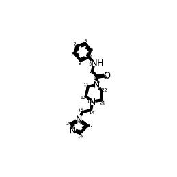 O=C(CNc1ccccc1)N1CCN(CCn2ccnc2)CC1